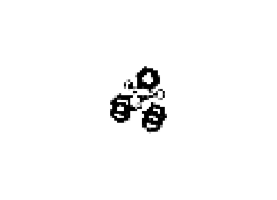 O=P(c1ccccc1)(c1ccccc1)C(P(c1ccccc1)c1ccccc1)P(=O)(c1ccccc1)c1ccccc1